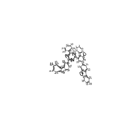 CC1CC=Cc2oc3cc(-c4ccc5c(c4)oc4ccccc45)cc(-c4nc(-c5ccccc5)nc(-c5ccc6sc7ccccc7c6c5)n4)c3c21